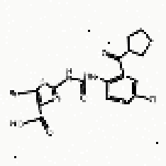 O=C(Nc1nc(C(=O)O)c(Br)s1)Nc1ccc(Cl)cc1C(=O)C1CCCC1